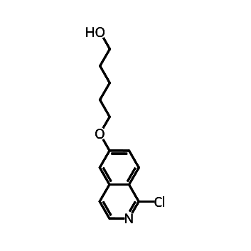 OCCCCCOc1ccc2c(Cl)nccc2c1